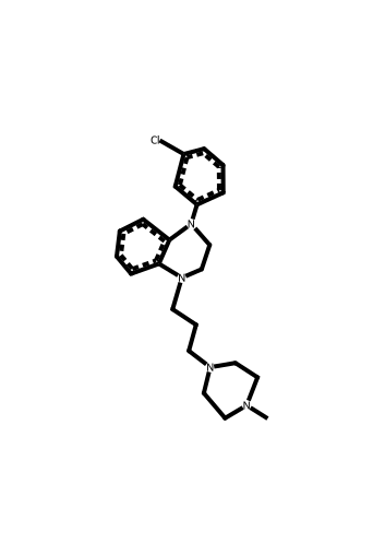 CN1CCN(CCCN2CCN(c3cccc(Cl)c3)c3ccccc32)CC1